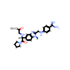 COC(=O)CN[C@@](C)(C(=O)N1CCCC1)c1ccc2c(c1)nc(CNc1ccc(C(=N)N)cc1)n2C